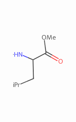 COC(=O)C([NH])CC(C)C